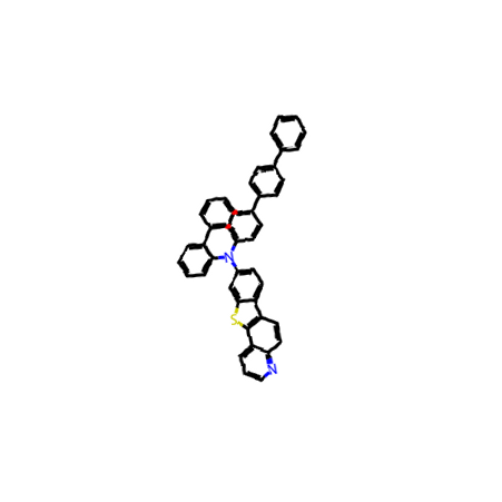 c1ccc(-c2ccc(-c3ccc(N(c4ccc5c(c4)sc4c6cccnc6ccc54)c4ccccc4-c4ccccc4)cc3)cc2)cc1